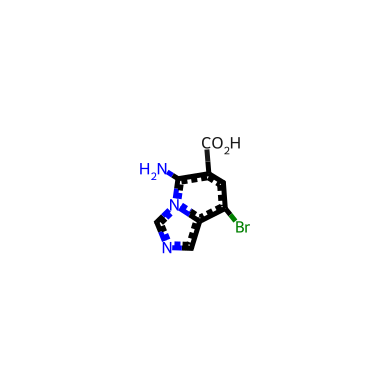 Nc1c(C(=O)O)cc(Br)c2cncn12